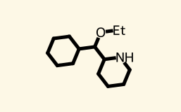 CCOC(C1CCCCC1)C1CCCCN1